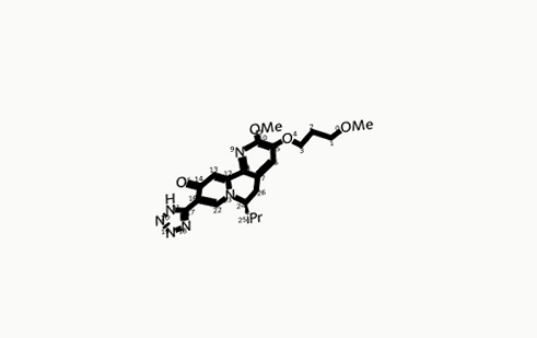 COCCCOc1cc2c(nc1OC)-c1cc(=O)c(-c3nnn[nH]3)cn1[C@H](C(C)C)C2